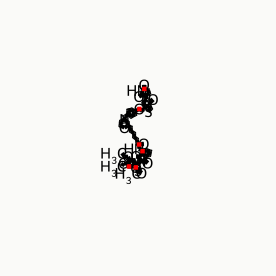 CCOc1cc([C@@H](CS(C)(=O)=O)N2C(=O)c3cccc(NC(=O)CCCCCCC4CN(Cc5ccc(OCc6scc7c6CN(C6CCC(=O)NC6=O)C7=O)cc5)CCO4)c3C2=O)ccc1OC